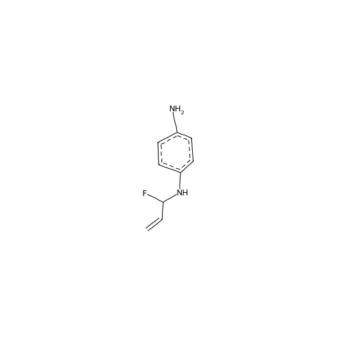 C=CC(F)Nc1ccc(N)cc1